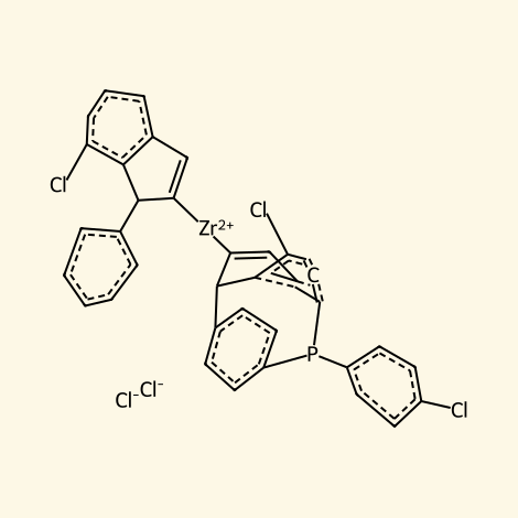 Clc1ccc(P2c3ccc(cc3)C3[C]([Zr+2][C]4=Cc5cccc(Cl)c5C4c4ccccc4)=Cc4c2ccc(Cl)c43)cc1.[Cl-].[Cl-]